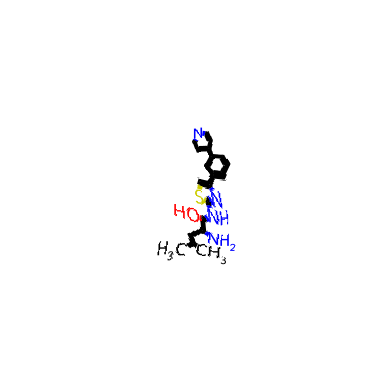 CC(C)CC(N)C(O)Nc1nc(-c2cccc(-c3ccncc3)c2)cs1